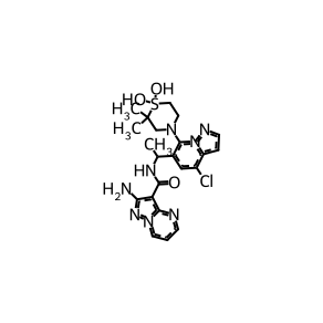 CC(NC(=O)c1c(N)nn2cccnc12)c1cc(Cl)c2ccnn2c1N1CCS(O)(O)C(C)(C)C1